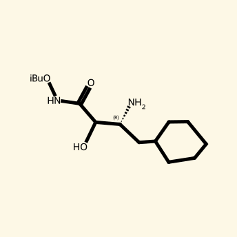 CC(C)CONC(=O)C(O)[C@H](N)CC1CCCCC1